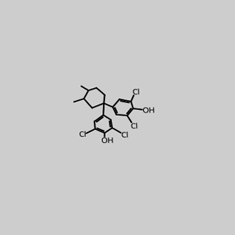 CC1CCC(c2cc(Cl)c(O)c(Cl)c2)(c2cc(Cl)c(O)c(Cl)c2)CC1C